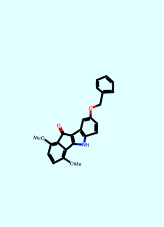 COc1ccc(OC)c2c1C(=O)c1c-2[nH]c2ccc(OCc3ccccc3)cc12